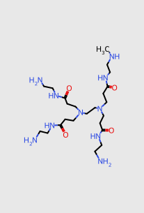 CNCCNC(=O)CCN(CCC(=O)NCCN)CCN(CCC(=O)NCCN)CCC(=O)NCCN